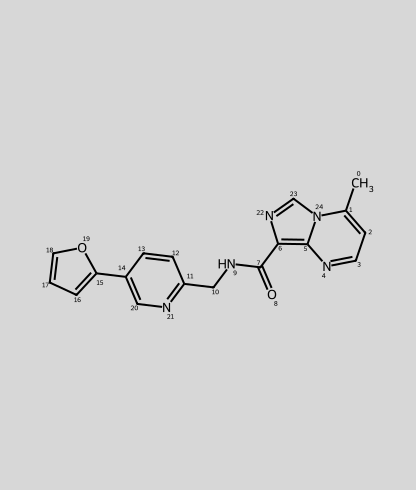 Cc1ccnc2c(C(=O)NCc3ccc(-c4ccco4)cn3)ncn12